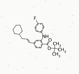 CC(C)(C)OC(=O)c1ccc(/C=C/CC2CCCCC2)cc1Nc1ccc(F)cc1